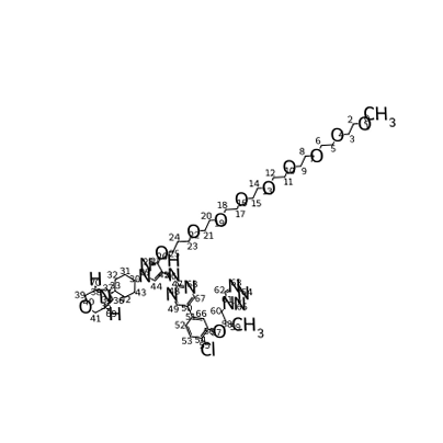 COCCOCCOCCOCCOCCOCCOCCOCCCOc1nn([C@H]2CC[C@H](N3[C@@H]4CC[C@H]3COC4)CC2)cc1Nc1ncc(-c2ccc(Cl)c(O[C@@H](C)Cn3cnnn3)c2)cn1